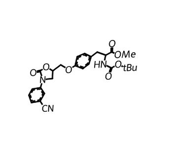 COC(=O)C(Cc1ccc(OCC2CN(c3cccc(C#N)c3)C(=O)O2)cc1)NC(=O)OC(C)(C)C